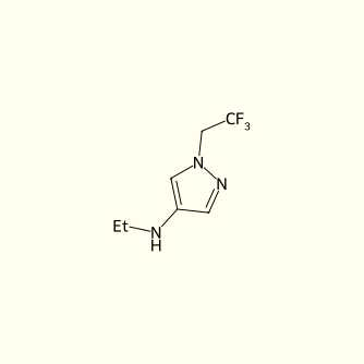 CCNc1cnn(CC(F)(F)F)c1